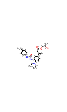 CCC(CC(=O)OCC(C)O)c1ccc(N(CC(C)C)CC(C)C)c(NC(=O)Nc2ccc(C)cc2)c1